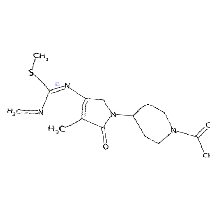 C=N/C(=N\C1=C(C)C(=O)N(C2CCN(C(C)=O)CC2)C1)SC